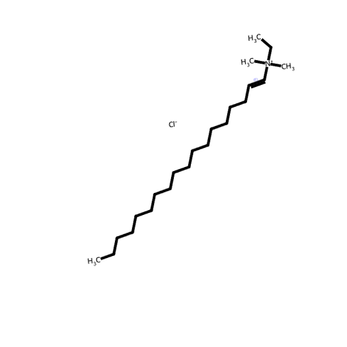 CCCCCCCCCCCCCCCC/C=C/[N+](C)(C)CC.[Cl-]